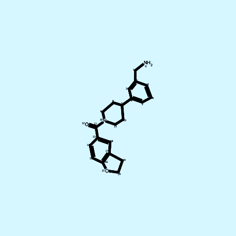 NCc1cccc(C2CCN(C(=O)c3ccc4c(c3)CCO4)CC2)c1